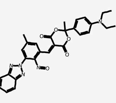 CCN(CC)c1ccc(C2(C)OC(=O)C(=Cc3cc(C)cc(-n4nc5ccccc5n4)c3N=O)C(=O)O2)cc1